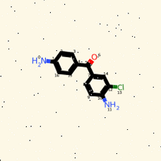 Nc1ccc(C(=O)c2ccc(N)c(Cl)c2)cc1